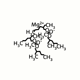 CCCCC(CC)COC(C)([O-])OCC(CC)CCCC.CCCCC(CC)COC(C)([O-])OCC(CC)CCCC.[Mg+2]